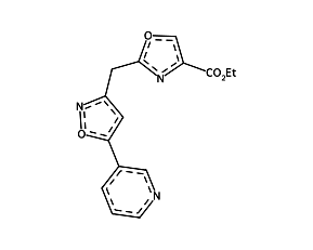 CCOC(=O)c1coc(Cc2cc(-c3cccnc3)on2)n1